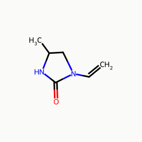 C=CN1CC(C)NC1=O